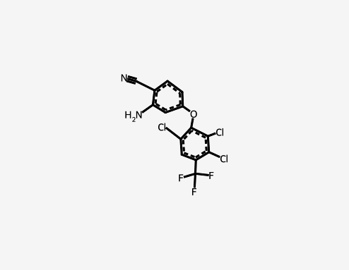 N#Cc1ccc(Oc2c(Cl)cc(C(F)(F)F)c(Cl)c2Cl)cc1N